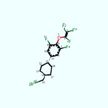 FC(F)=C(F)Oc1c(F)cc([C@H]2CC[C@H](CBr)CC2)cc1F